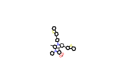 Cc1cc2c3c(c1)N(c1ccccc1)c1cc4c(cc1B3C1=C(CCC(c3ccc5c(c3)sc3ccccc35)=C1)N2c1ccc(-c2ccc3c(c2)sc2ccccc23)cc1)OCO4